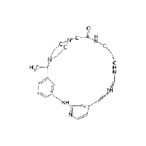 CC1c2cccc(c2)Nc2cc(ccn2)-c2cnc(nc2)NCCCNC(=O)CN2CCN1CC2